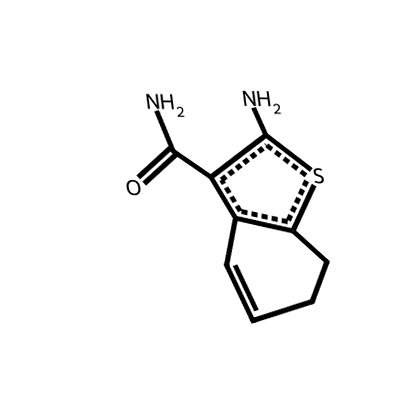 NC(=O)c1c(N)sc2c1C=CCC2